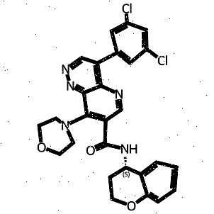 O=C(N[C@H]1CCOc2ccccc21)c1cnc2c(-c3cc(Cl)cc(Cl)c3)cnnc2c1N1CCOCC1